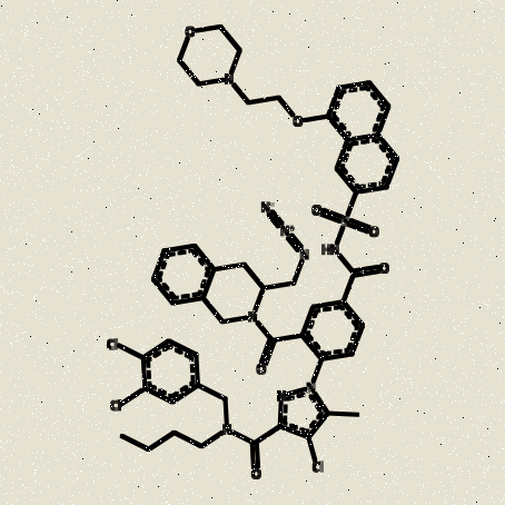 CCCCN(Cc1ccc(Cl)c(Cl)c1)C(=O)c1nn(-c2ccc(C(=O)NS(=O)(=O)c3ccc4cccc(OCCN5CCOCC5)c4c3)cc2C(=O)N2Cc3ccccc3CC2CN=[N+]=[N-])c(C)c1Cl